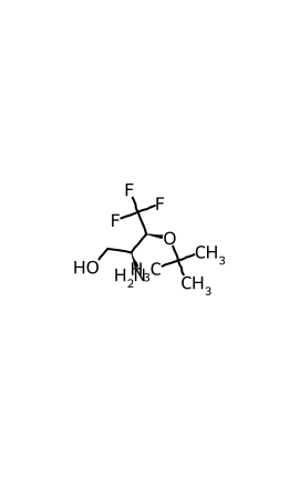 CC(C)(C)O[C@@H]([C@@H](N)CO)C(F)(F)F